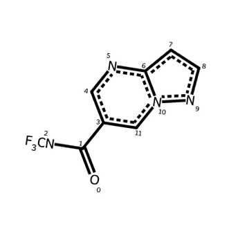 O=C(NC(F)(F)F)c1cnc2ccnn2c1